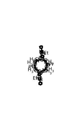 CCOc1cc(-c2ccccc2)nn1Cc1ccc(C[C@H]2OC(=O)[C@H](CC(C)C)N(C)C(=O)[C@@H](C)OC(=O)[C@H](CC(C)C)N(C)C(=O)[C@@H](Cc3ccc(Cn4nc(-c5ccccc5)cc4OCC)cc3)OC(=O)[C@H](CC(C)C)N(C)C(=O)[C@@H](C)OC(=O)[C@H](CC(C)C)N(C)C2=O)cc1